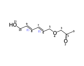 CC(=O)COC/C=C/C=C/CO